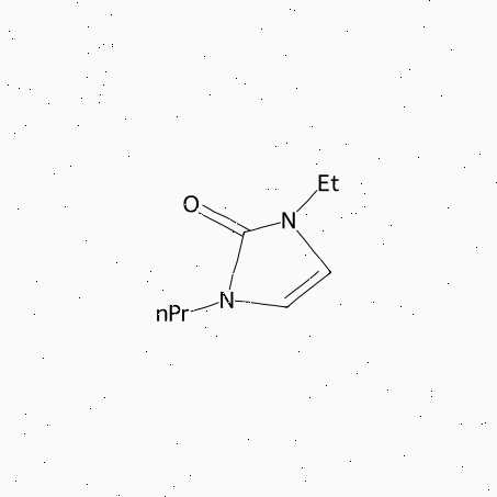 CCCn1ccn(CC)c1=O